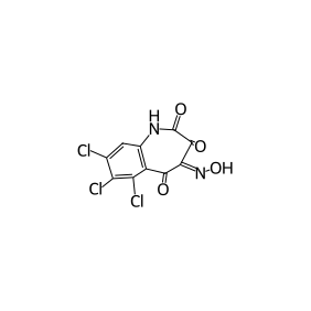 O=C1Nc2cc(Cl)c(Cl)c(Cl)c2C(=O)/C(=N/O)C1=O